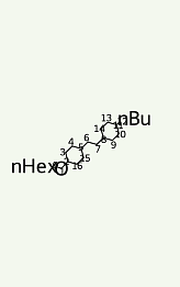 CCCCCCOC1CCC(CCC2CCC(CCCC)CC2)CC1